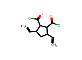 C=CC1CC(C=C)C(C(=O)Cl)C1C(=O)Cl